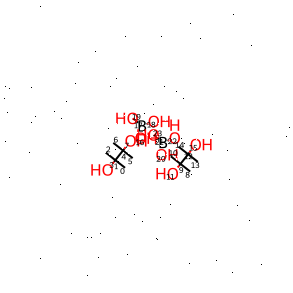 CC(C)(O)C(C)(C)O.CC(C)(O)C(C)(C)O.OB(O)O.OB(O)O